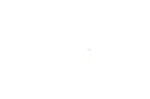 CCCN(Cc1ccc(F)c(F)c1)C(C)C